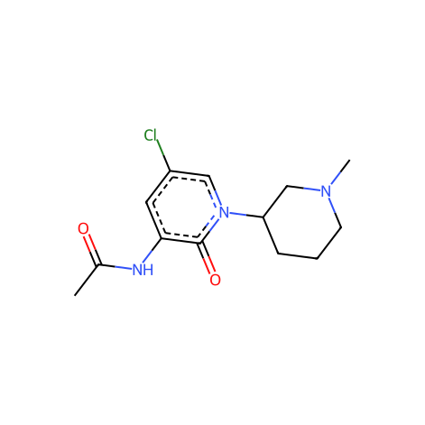 CC(=O)Nc1cc(Cl)cn(C2CCCN(C)C2)c1=O